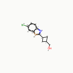 OCC1CC(c2nc3ccc(Br)cc3s2)C1